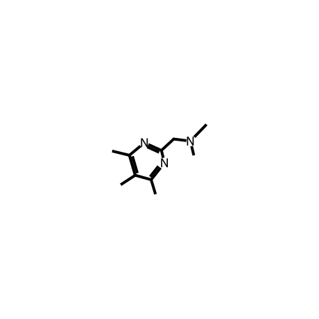 Cc1nc(CN(C)C)nc(C)c1C